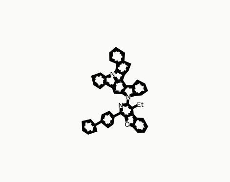 CCc1c(-n2c3ccccc3c3c4c5ccc6ccccc6c5n5c6ccccc6c(cc32)c45)nc(-c2ccc(-c3ccccc3)cc2)c2oc3ccccc3c12